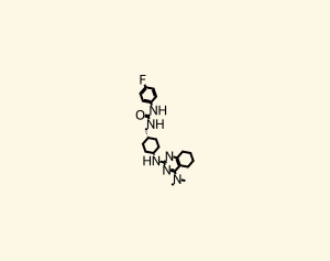 CN(C)c1nc(N[C@H]2CC[C@@H](CNC(=O)Nc3ccc(F)cc3)CC2)nc2c1CCCC2